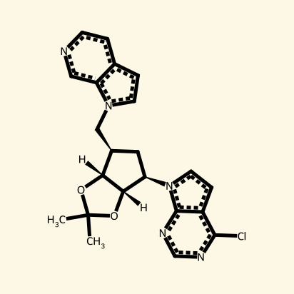 CC1(C)O[C@@H]2[C@@H](Cn3ccc4ccncc43)C[C@@H](n3ccc4c(Cl)ncnc43)[C@@H]2O1